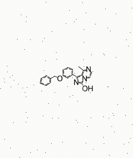 Cc1nccn2c(O)nc(-c3cccc(OCc4ccccc4)c3)c12